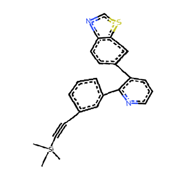 C[Si](C)(C)C#Cc1cccc(-c2ncccc2-c2ccc3ncsc3c2)c1